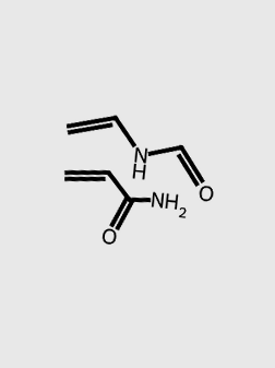 C=CC(N)=O.C=CNC=O